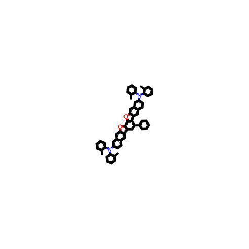 Cc1ccccc1N(c1ccc2cc3c(cc2c1)oc1c3cc(-c2ccccc2)c2c3cc4ccc(N(c5ccccc5C)c5ccccc5C)cc4cc3oc12)c1ccccc1C